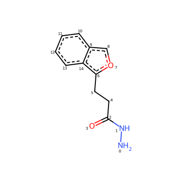 NNC(=O)CCc1occ2ccccc12